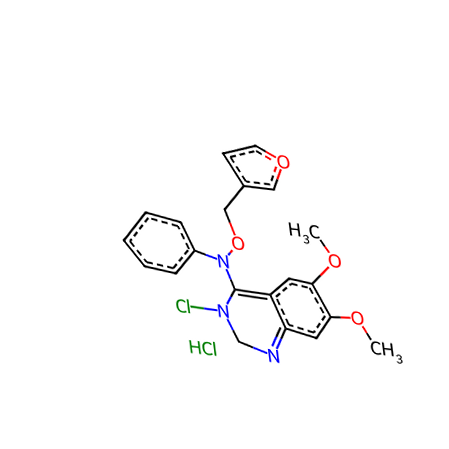 COc1cc2c(cc1OC)=C(N(OCc1ccoc1)c1ccccc1)N(Cl)CN=2.Cl